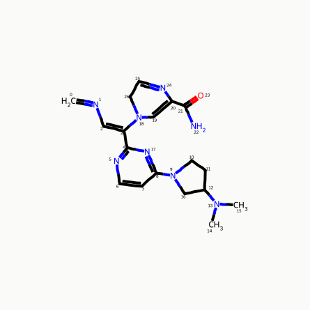 C=N/C=C(/c1nccc(N2CCC(N(C)C)C2)n1)N1C=C(C(N)=O)N=CC1